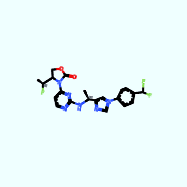 C[C@H](Nc1nccc(N2C(=O)OCC2[C@H](C)F)n1)c1cn(-c2ccc(C(F)F)cc2)cn1